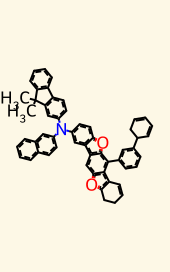 CC1(C)c2ccccc2-c2ccc(N(c3ccc4ccccc4c3)c3ccc4oc5c(-c6cccc(C7C=CC=CC7)c6)c6c7c(oc6cc5c4c3)CCC=C7)cc21